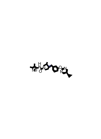 Cc1noc(NC(=O)N2CC/C(=C\c3cccc(Oc4ncc(C5CC5)cn4)c3)C(C)C2)c1C